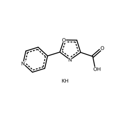 O=C(O)c1coc(-c2ccncc2)n1.[KH]